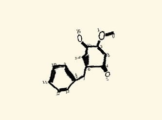 COC1=CC(=O)C(Cc2ccccc2)=CC1=O